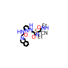 CCNC(=O)C(C#N)=c1sc(=CNc2cccc(NC(=O)CN3CCc4ccccc4C3)n2)c(=O)n1CC